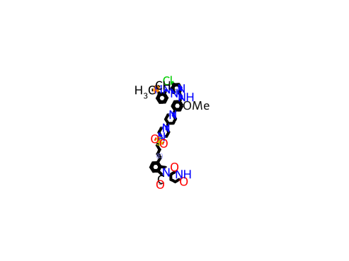 COc1cc(N2CCC(N3CCN(S(=O)(=O)CC/C=C/c4cccc5c4CN(C4CCC(=O)NC4=O)C5=C=O)CC3)CC2)ccc1Nc1ncc(Cl)c(Nc2ccccc2P(C)C)n1